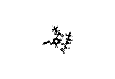 C#CCOc1cc(-n2nc(C(C)(C)C)oc2=O)c(Cl)cc1Cl.CNC(=O)N(C)c1nnc(C(C)(C)C)s1